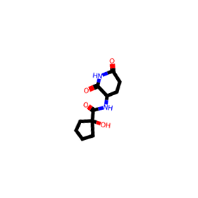 O=C1CCC(NC(=O)C2(O)CCCC2)C(=O)N1